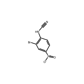 N#CNc1ccc([N+](=O)[O-])cc1Br